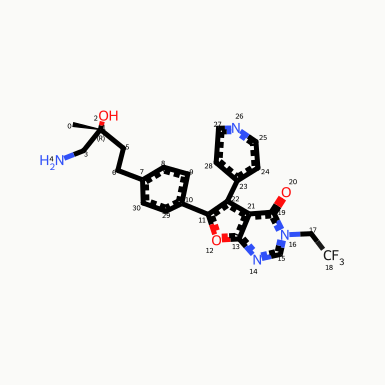 C[C@](O)(CN)CCc1ccc(-c2oc3ncn(CC(F)(F)F)c(=O)c3c2-c2ccncc2)cc1